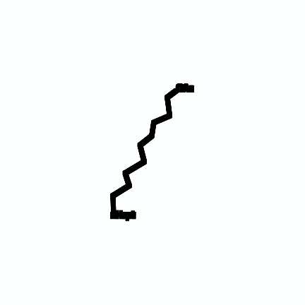 CCCCCCCCCCCCCCCCOC(C)=O